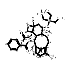 CC[Si](CC)(CC)O[C@H]1C[C@H]2OC[C@@]2(OC(C)=O)C2[C@H](OC(=O)c3ccccc3)[C@]3(O)CCC(C)=C(CC[C@@]21C)C3(C)C